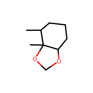 CC1CCCC2OCOC12C